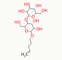 C=CCCCO[C@H]1OC(CO)[C@@H](O[C@@H]2OC(CO)[C@@H](O)[C@H](O)C2O)[C@H](O)C1O